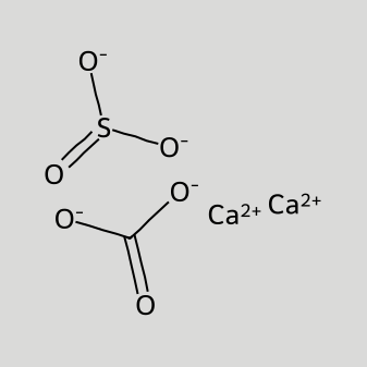 O=C([O-])[O-].O=S([O-])[O-].[Ca+2].[Ca+2]